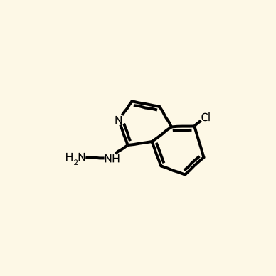 NNc1nccc2c(Cl)cccc12